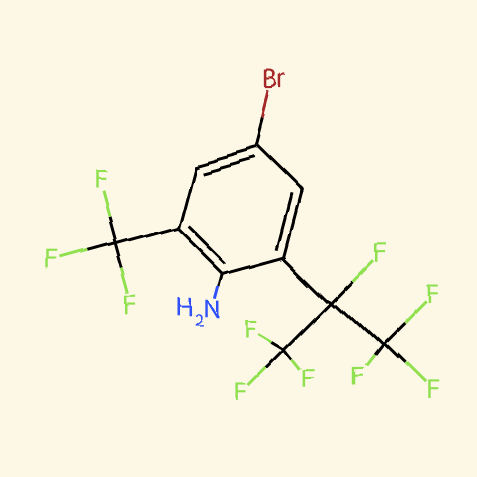 Nc1c(C(F)(F)F)cc(Br)cc1C(F)(C(F)(F)F)C(F)(F)F